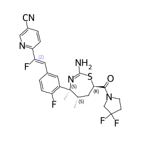 C[C@H]1C[C@H](C(=O)N2CCC(F)(F)C2)SC(N)=N[C@]1(C)c1cc(/C=C(\F)c2ccc(C#N)cn2)ccc1F